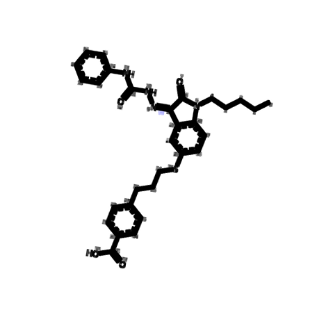 CCCCCN1C(=O)/C(=N\NC(=O)Nc2ccccc2)c2cc(SCCCc3ccc(C(=O)O)cc3)ccc21